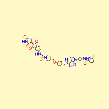 Cc1cccc(C(=O)NC2CC(n3cnc4c(NCc5ccc(OCC6CCN(C(=O)CNc7ccc8c(c7)C(=O)N([C@H]7CCC(=O)NC7=O)C8=O)CC6)cc5)ncnc43)C2)n1